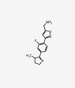 CN1CCN=C1c1ccc(-c2cc(CN)on2)c(F)c1